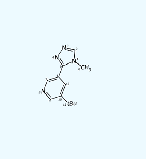 Cn1cnnc1-c1cncc(C(C)(C)C)c1